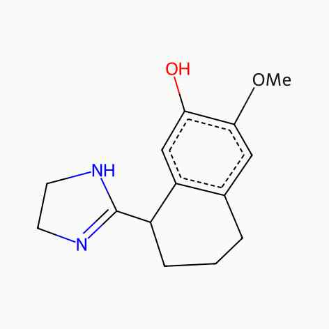 COc1cc2c(cc1O)C(C1=NCCN1)CCC2